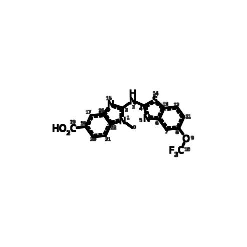 Cn1c(Nc2nc3cc(OC(F)(F)F)ccc3s2)nc2cc(C(=O)O)ccc21